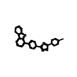 Cc1ccc(-c2nnc(-c3ccc(-c4cccc5c4oc4ccccc45)cc3)o2)cc1